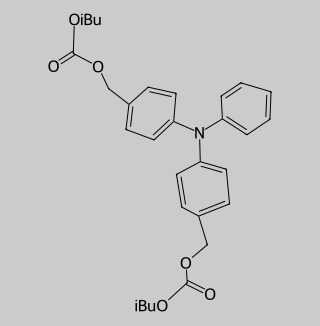 CC(C)COC(=O)OCc1ccc(N(c2ccccc2)c2ccc(COC(=O)OCC(C)C)cc2)cc1